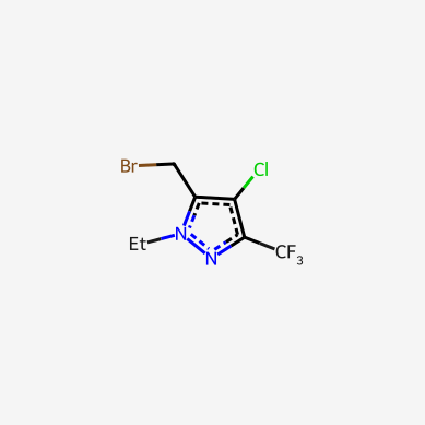 [CH2]Cn1nc(C(F)(F)F)c(Cl)c1CBr